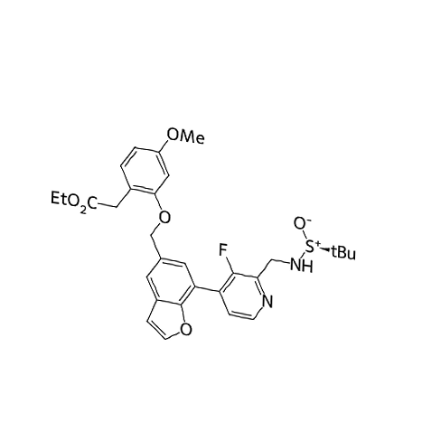 CCOC(=O)Cc1ccc(OC)cc1OCc1cc(-c2ccnc(CN[S@@+]([O-])C(C)(C)C)c2F)c2occc2c1